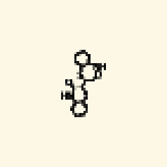 O=C1Nc2ccccc2SC1C1CONc2ccccc2S1